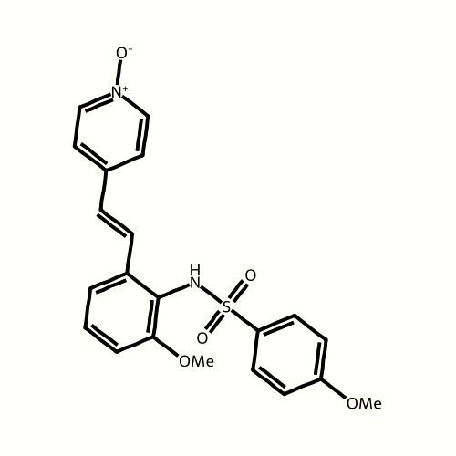 COc1ccc(S(=O)(=O)Nc2c(/C=C/c3cc[n+]([O-])cc3)cccc2OC)cc1